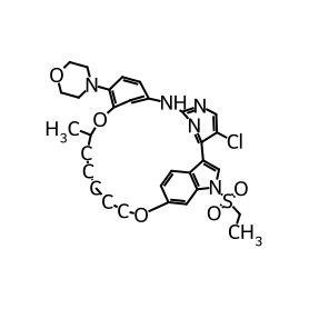 CCS(=O)(=O)n1cc2c3ccc(cc31)OCCCCCC(C)Oc1cc(ccc1N1CCOCC1)Nc1ncc(Cl)c-2n1